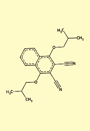 CC(C)COc1c(C#N)c(C#N)c(OCC(C)C)c2ccccc12